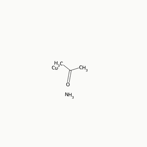 CC(C)=O.N.[Cu]